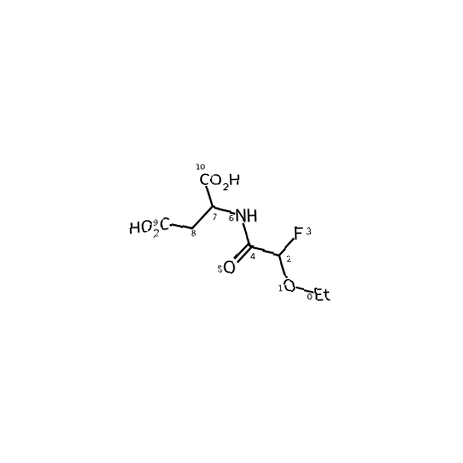 CCOC(F)C(=O)NC(CC(=O)O)C(=O)O